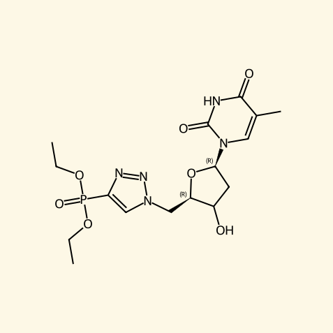 CCOP(=O)(OCC)c1cn(C[C@H]2O[C@@H](n3cc(C)c(=O)[nH]c3=O)CC2O)nn1